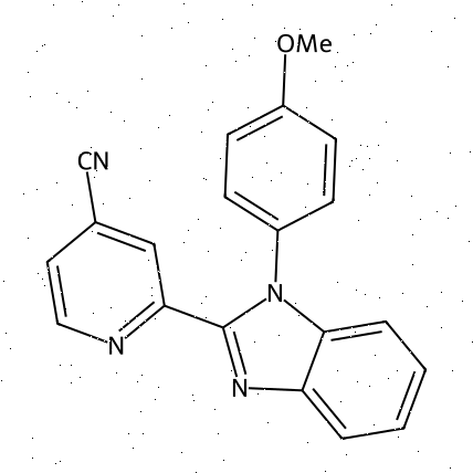 COc1ccc(-n2c(-c3cc(C#N)ccn3)nc3ccccc32)cc1